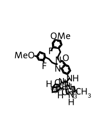 COc1ccc(CCc2nc3cc(NC(=NC4C[C@H]5C[C@@H]([C@@H]4C)C5(C)C)N4CCN[C@@H](C)C4)ccc3c(=O)n2CCc2ccc(OC)cc2F)c(F)c1